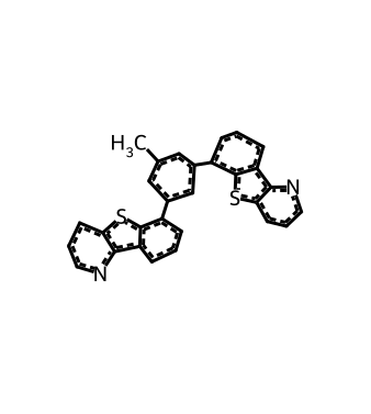 Cc1cc(-c2cccc3c2sc2cccnc23)cc(-c2cccc3c2sc2cccnc23)c1